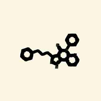 O=c1c2c(CCCc3ccccc3)n[nH]c2c2cccnc2n1-c1ccccc1